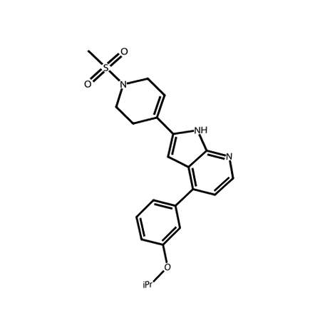 CC(C)Oc1cccc(-c2ccnc3[nH]c(C4=CCN(S(C)(=O)=O)CC4)cc23)c1